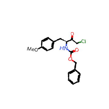 COc1ccc(C[C@H](NC(=O)OCc2ccccc2)C(=O)CCl)cc1